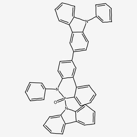 O=P1(n2c3ccccc3c3ccccc32)c2ccccc2-c2cc(-c3ccc4c(c3)c3ccccc3n4-c3ccccc3)ccc2N1c1ccccc1